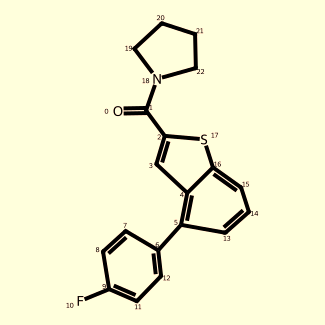 O=C(c1cc2c(-c3ccc(F)cc3)cccc2s1)N1CCCC1